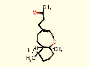 CC(=O)CC/C1=C/CO[C@@]2(C)CCCC(C)(C)[C@@H]2CC1